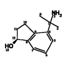 CC(C)(N)c1cccc2c1CC[C@@H]2O